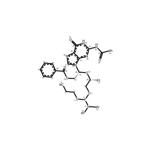 CC[C@H](COP(OCCC#N)N(C(C)C)C(C)C)O[C@H](COC(=O)c1ccccc1)n1cnc2c(=O)[nH]c(NC(=O)C(C)C)nc21